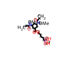 C=CC(=O)N(OC)C1CC(C(=O)OCCCCCP(=O)(O)O)CC(N(OC)C(=O)C=C)C1